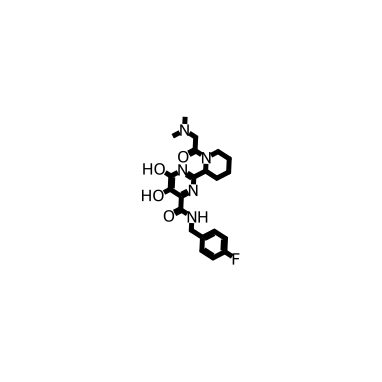 CN(C)CC(=O)N1CCCCC1c1nc(O)c(O)c(C(=O)NCc2ccc(F)cc2)n1